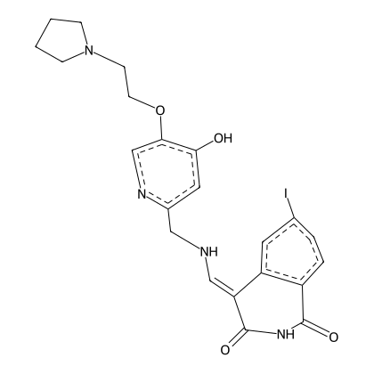 O=C1NC(=O)c2ccc(I)cc2/C1=C\NCc1cc(O)c(OCCN2CCCC2)cn1